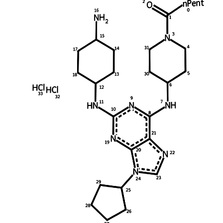 CCCCCC(=O)N1CCC(Nc2nc(NC3CCC(N)CC3)nc3c2ncn3C2CCCC2)CC1.Cl.Cl